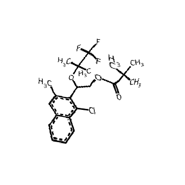 Cc1cc2ccccc2c(Cl)c1C(COC(=O)C(C)(C)C)OC(C)(C)C(F)(F)F